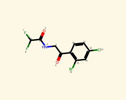 O=C(CNC(=O)C(F)F)c1ccc(Cl)cc1Br